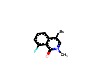 Cn1cc(C(C)(C)C)c2cccc(F)c2c1=O